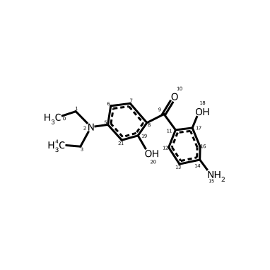 CCN(CC)c1ccc(C(=O)c2ccc(N)cc2O)c(O)c1